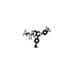 FC(F)(F)CNc1ncc2c(n1)C(c1ccc(C3CC3)cc1)=CN(c1ccc3ncsc3c1)C2